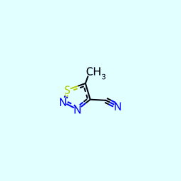 Cc1snnc1C#N